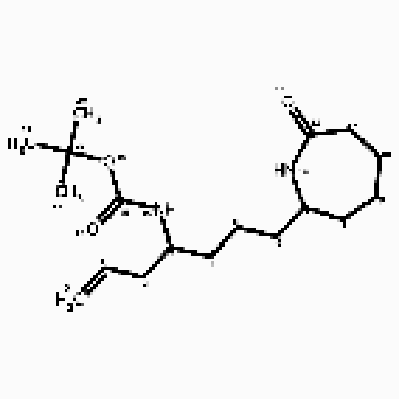 C=CCC(CCCC1CCCCC(=O)N1)NC(=O)OC(C)(C)C